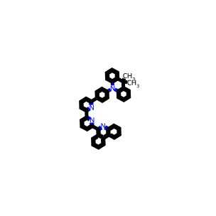 CC1(C)c2ccccc2N(c2ccc(-c3cccc(-c4cccc(-c5nc6ccccc6c6ccccc56)n4)n3)cc2)c2ccccc21